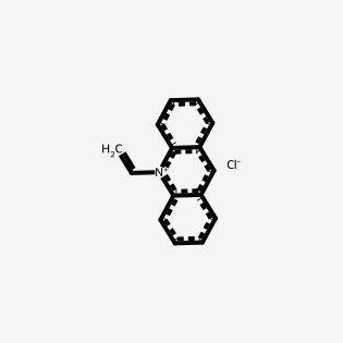 C=C[n+]1c2ccccc2cc2ccccc21.[Cl-]